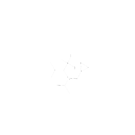 CC(C)[C@@H](N(CC1CC1)C(C)C)C(F)(F)F